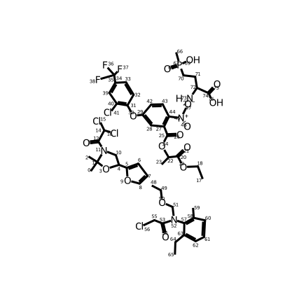 CC1(C)OC(c2ccco2)CN1C(=O)C(Cl)Cl.CCOC(=O)C(C)OC(=O)c1cc(Oc2ccc(C(F)(F)F)cc2Cl)ccc1[N+](=O)[O-].CCOCN(C(=O)CCl)c1c(C)cccc1CC.CP(=O)(O)CCC(N)C(=O)O